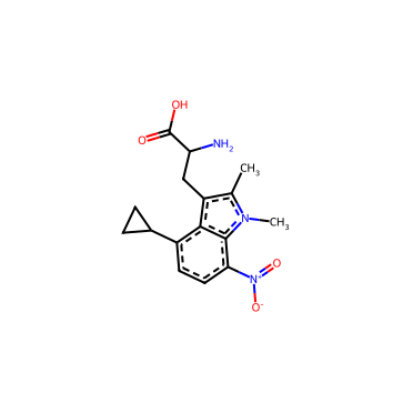 Cc1c(CC(N)C(=O)O)c2c(C3CC3)ccc([N+](=O)[O-])c2n1C